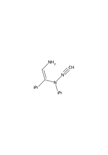 C#[N+]N(/C(=C\N)C(C)C)C(C)C